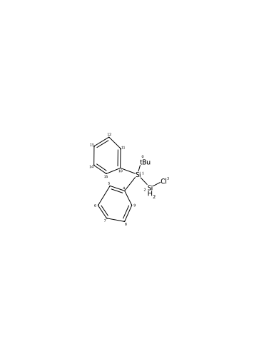 CC(C)(C)[Si]([SiH2]Cl)(c1ccccc1)c1ccccc1